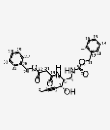 CC#C[C@@H](O)[C@H](CNC(=O)OCc1ccccc1)NC(=O)CC(=O)OCc1ccccc1